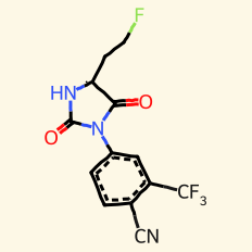 N#Cc1ccc(N2C(=O)N[C](CCF)C2=O)cc1C(F)(F)F